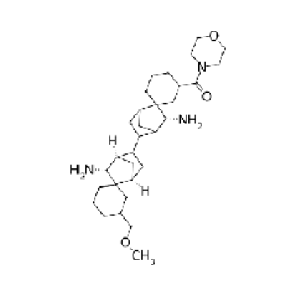 COCC1CCC[C@]2(C1)[C@@H]1CC(C3CC4CC3[C@@H](N)C43CCCC(C(=O)N4CCOCC4)C3)[C@@H](C1)[C@H]2N